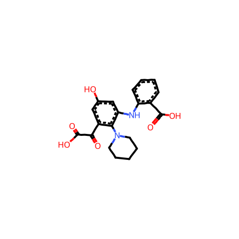 O=C(O)C(=O)c1cc(O)cc(Nc2ccccc2C(=O)O)c1N1CCCCC1